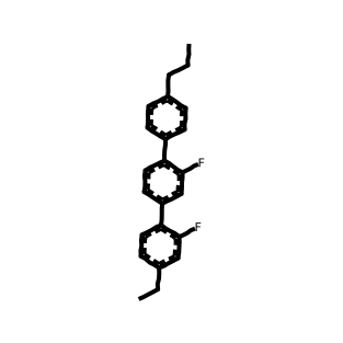 CCCc1ccc(-c2ccc(-c3ccc(CC)cc3F)cc2F)cc1